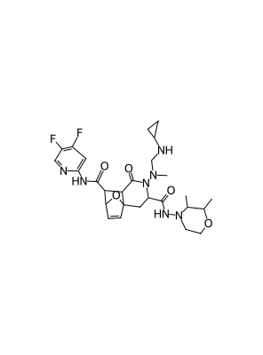 CC1OCCN(NC(=O)C2CC34C=CC(O3)C(C(=O)Nc3cc(F)c(F)cn3)C4C(=O)N2N(C)CNC2CC2)C1C